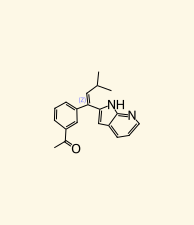 CC(=O)c1cccc(/C(=C/C(C)C)c2cc3cccnc3[nH]2)c1